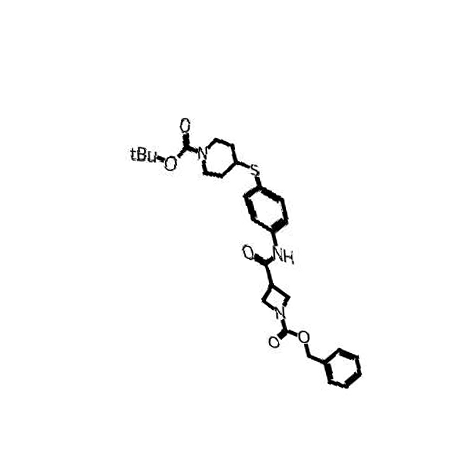 CC(C)(C)OC(=O)N1CCC(Sc2ccc(NC(=O)C3CN(C(=O)OCc4ccccc4)C3)cc2)CC1